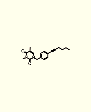 CCCCC#Cc1ccc(Cn2cc(C)c(=O)n(C)c2=O)cc1